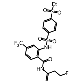 C=C(CCF)NC(=O)c1ccc(C(F)(F)F)cc1NS(=O)(=O)c1ccc(S(=O)(=O)CC)cc1